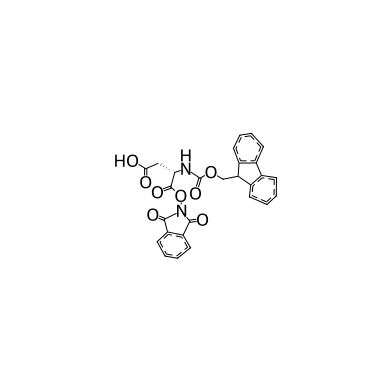 O=C(O)C[C@H](NC(=O)OCC1c2ccccc2-c2ccccc21)C(=O)ON1C(=O)c2ccccc2C1=O